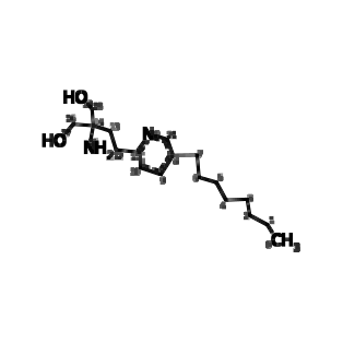 CCCCCCCCc1ccc(CCC(N)(CO)CO)nc1